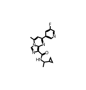 Cc1cc(-c2cncc(F)c2)nc2c(C(=O)NC(C)C3CC3)ncn12